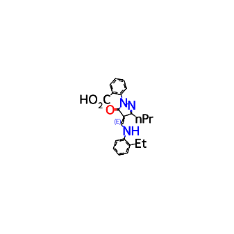 CCCC1=NN(c2ccccc2C(=O)O)C(=O)/C1=C/Nc1ccccc1CC